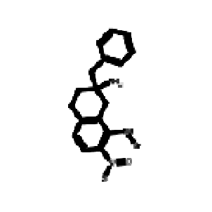 NC1(Cc2ccccc2)CCc2ccc([N+](=O)[O-])c(NBr)c2C1